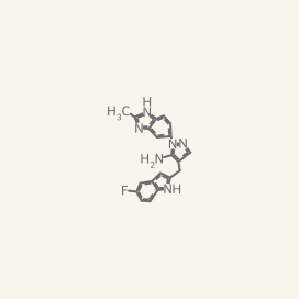 Cc1nc2cc(-n3ncc(Cc4cc5cc(F)ccc5[nH]4)c3N)ccc2[nH]1